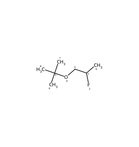 CC(F)COC(C)(C)C